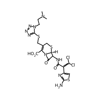 CN(C)CCn1nnnc1SCC1=C(C(=O)O)N2C(=O)C(NC(=O)C(=C(Cl)Cl)c3csc(N)n3)[C@H]2SC1